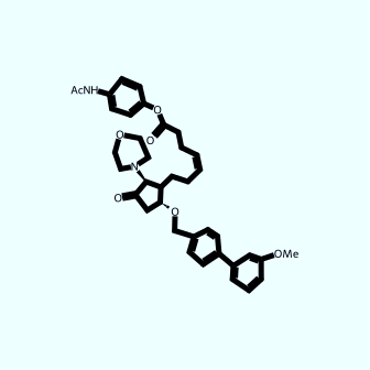 COc1cccc(-c2ccc(CO[C@@H]3CC(=O)[C@@H](N4CCOCC4)C3CC/C=C\CCC(=O)Oc3ccc(NC(C)=O)cc3)cc2)c1